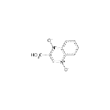 O=C(O)c1c[n+]([O-])c2ccccc2[n+]1[O-]